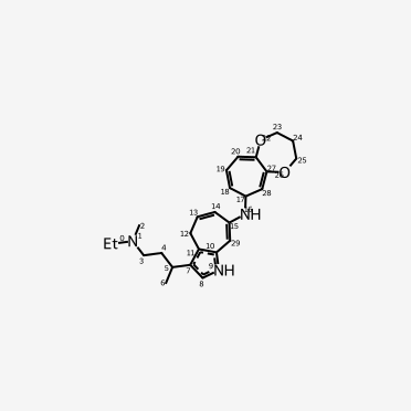 CCN(C)CCC(C)c1c[nH]c2c1CC=CC(NC1C=CC=C3OCCCOC3=C1)=C2